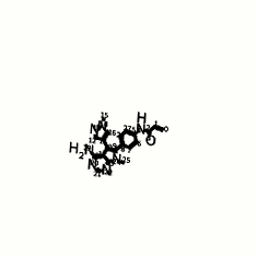 C=CC(=O)Nc1ccc(-c2c(-c3cnn(C)c3)c3c(N)ncnc3n2C)cc1